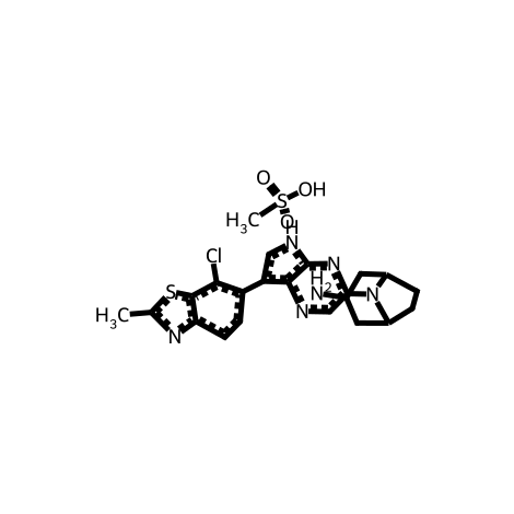 CS(=O)(=O)O.Cc1nc2ccc(-c3c[nH]c4nc(N5C6CCC5CC(N)C6)cnc34)c(Cl)c2s1